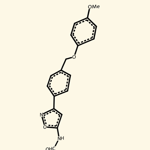 COc1ccc(OCc2ccc(-c3cc(NC=O)on3)cc2)cc1